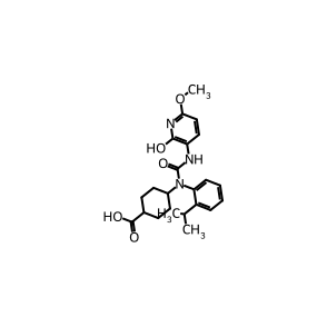 COc1ccc(NC(=O)N(c2ccccc2C(C)C)C2CCC(C(=O)O)CC2)c(O)n1